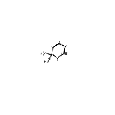 CC1(C)CCOBO1